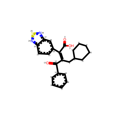 O=C(O)C(=C(CC1CCCCC1)C(=O)c1ccccc1)c1ccc2nsnc2c1